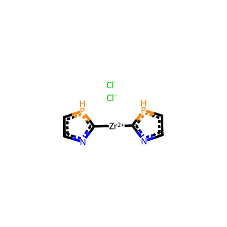 [Cl-].[Cl-].c1c[pH][c]([Zr+2][c]2ncc[pH]2)n1